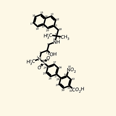 CN(CC(O)CNC(C)(C)Cc1ccc2ccccc2c1)S(=O)(=O)c1ccc(-c2ccc(C(=O)O)cc2[N+](=O)[O-])cc1